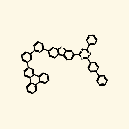 c1ccc(-c2ccc(-c3nc(-c4ccccc4)nc(-c4ccc5c(c4)oc4cc(-c6cccc(-c7cccc(-c8ccc9c%10ccccc%10c%10ccccc%10c9c8)c7)c6)ccc45)n3)cc2)cc1